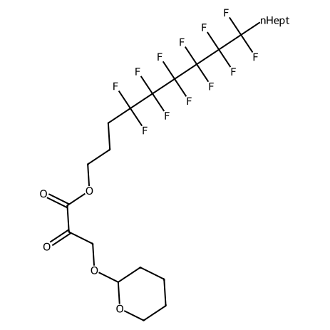 CCCCCCCC(F)(F)C(F)(F)C(F)(F)C(F)(F)C(F)(F)C(F)(F)CCCOC(=O)C(=O)COC1CCCCO1